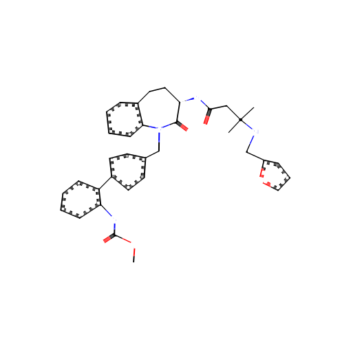 COC(=O)Nc1ccccc1-c1ccc(CN2C(=O)[C@H](NC(=O)CC(C)(C)NCc3ccco3)CCc3ccccc32)cc1